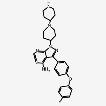 Nc1ncnc2c1c(-c1ccc(Oc3ccc(F)cc3)cc1)nn2C1CCN(C2CCNCC2)CC1